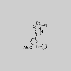 CCC(CC)n1ncc(-c2ccc(OC)c(OC3CCCC3)c2)cc1=O